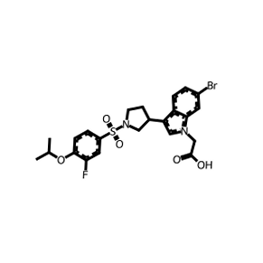 CC(C)Oc1ccc(S(=O)(=O)N2CCC(c3cn(CC(=O)O)c4cc(Br)ccc34)C2)cc1F